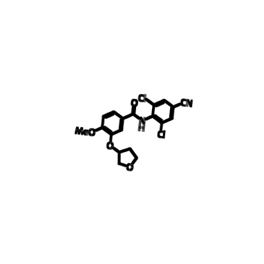 COc1ccc(C(=O)Nc2c(Cl)cc(C#N)cc2Cl)cc1OC1CCOC1